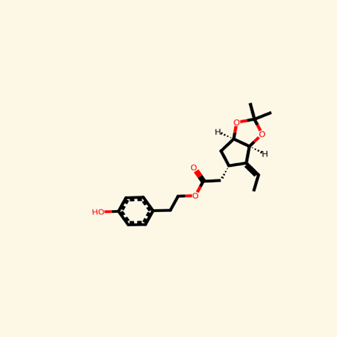 C/C=C1\[C@H](CC(=O)OCCc2ccc(O)cc2)C[C@H]2OC(C)(C)O[C@@H]12